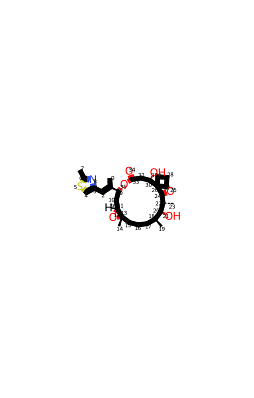 CC(=Cc1csc(C)n1)[C@@H]1C[C@@H]2O[C@@]2(C)CCC[C@H](C)[C@H](O)[C@@H](C)C(=O)C2(CCC2)[C@@H](O)CC(=O)O1